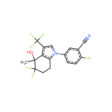 CC1(O)c2c(C(F)(F)F)cn(-c3ccc(F)c(C#N)c3)c2CCC1(F)F